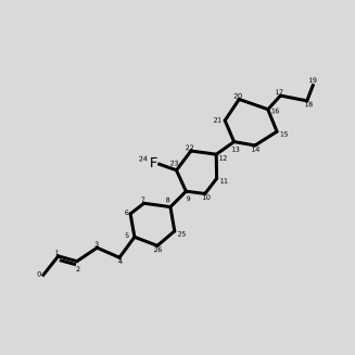 C/C=C/CCC1CCC(C2CCC(C3CCC(CCC)CC3)CC2F)CC1